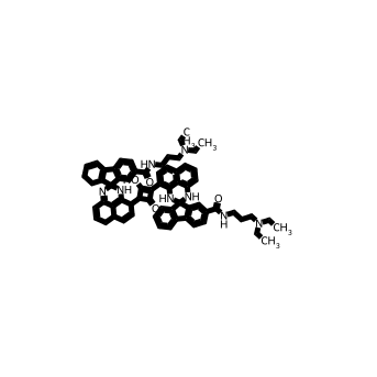 CCN(CC)CCCNC(=O)c1ccc2c(c1)C1(N=C3C=CCC4C=CC(C5C(=O)C(c6ccc7cccc8c7c6NC6(N8)c7ccccc7-c7ccc(C(=O)NCCCN(CC)CC)cc76)=C5O)C(=C34)N1)C1=C2C=CCC1